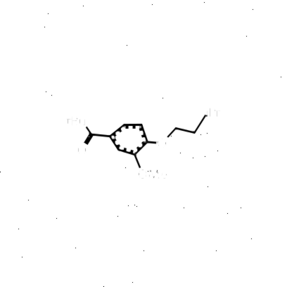 COc1cc(C(=O)C(C)(C)C)ccc1OCCC(C)C